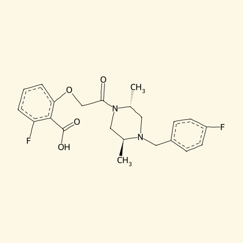 C[C@@H]1CN(Cc2ccc(F)cc2)[C@@H](C)CN1C(=O)COc1cccc(F)c1C(=O)O